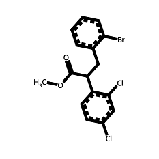 COC(=O)C(Cc1ccccc1Br)c1ccc(Cl)cc1Cl